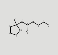 CCCOC(=O)OC1(C)CCCC1